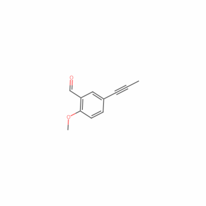 CC#Cc1ccc(OC)c(C=O)c1